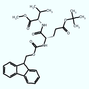 COC(=O)[C@@H](NC(=O)[C@H](CCC(=O)OC(C)(C)C)NC(=O)OCC1c2ccccc2-c2ccccc21)C(C)C